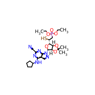 CCOP(=O)(CC(S)[C@H]1O[C@@H](n2ncc3c(NC4CCCC4)nc(C#N)nc32)[C@@H]2OC(C)(C)O[C@@H]21)OCC